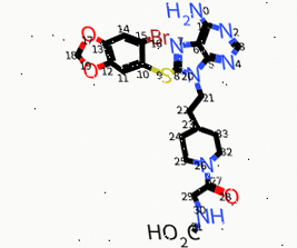 Nc1ncnc2c1nc(Sc1cc3c(cc1Br)OCO3)n2CCC1CCN(C(=O)CNC(=O)O)CC1